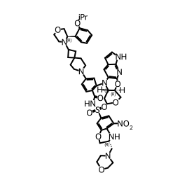 CC(C)Oc1ccccc1[C@@H]1COCCN1C1CC2(CCN(c3ccc(C(=O)NS(=O)(=O)c4cc5c(c([N+](=O)[O-])c4)N[C@H](CN4CCOCC4)CO5)c(N4c5cc6cc[nH]c6nc5O[C@H]5COCC[C@@H]54)c3)CC2)C1